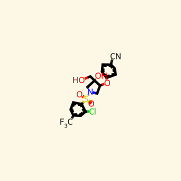 N#Cc1ccc(OC2CN(S(=O)(=O)c3ccc(C(F)(F)F)cc3Cl)C[C@@]2(O)CO)cc1